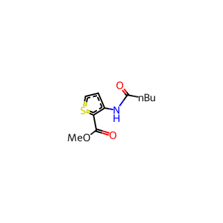 CCCCC(=O)Nc1ccsc1C(=O)OC